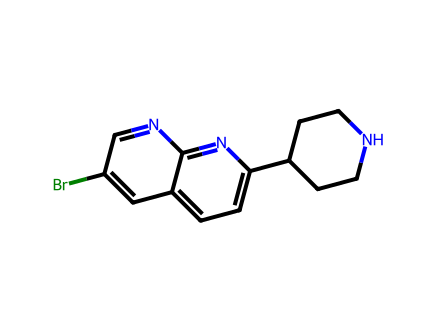 Brc1cnc2nc(C3CCNCC3)ccc2c1